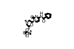 CN1CC(n2ccc(NC(=O)c3ccccc3)nc2=O)O[C@H](CO[P@@](=O)(Cl)N(C)C)C1